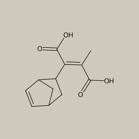 CC(C(=O)O)=C(C(=O)O)C1CC2C=CC1C2